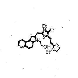 CCN1CCS/C1=C\C=c1/s/c(=C\c2sc3c4ccccc4ccc3[n+]2CCO)n(CC)c1=O